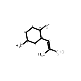 CC([C]=O)=CC1CC(C)CCC1C(C)C